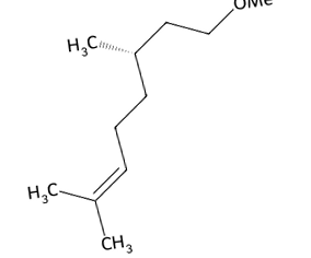 COCC[C@@H](C)CCC=C(C)C